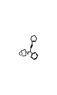 C(#CC(c1ccccc1)N1CCOCC1)C1=CCCCC1